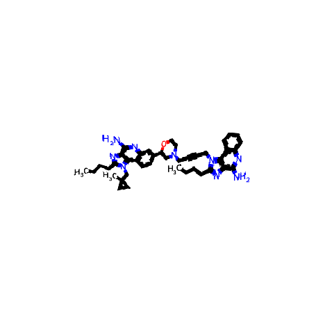 CCCCc1nc2c(N)nc3ccccc3c2n1CC#CCN1CCOC(c2ccc3c(c2)nc(N)c2nc(CCCC)n(CC4(C)CC4)c23)C1